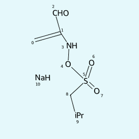 C=C(C=O)NOS(=O)(=O)CC(C)C.[NaH]